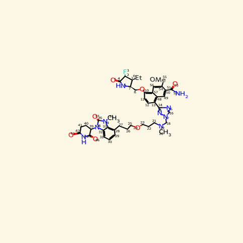 CC[C@@H]1[C@H](F)C(=O)N[C@@H]1COc1ccc(-c2ncn(CN(C)CCCOCCCc3cccc4c3n(C)c(=O)n4C3CCC(=O)NC3=O)n2)c2cc(C(N)=O)c(OC)cc12